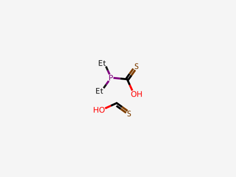 CCP(CC)C(O)=S.OC=S